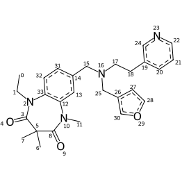 CCN1C(=O)C(C)(C)C(=O)N(C)c2cc(CN(CCc3cccnc3)Cc3ccoc3)ccc21